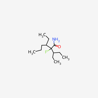 CCCC(CC)C(F)(C(N)=O)C(CC)CC